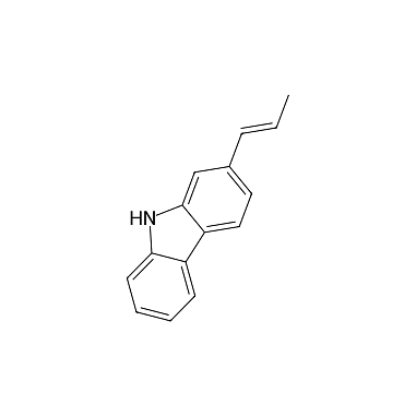 C/C=C/c1ccc2c(c1)[nH]c1ccccc12